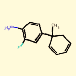 CC1(c2ccc(N)c(F)c2)C=CC=CC1